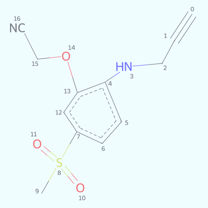 C#CCNc1ccc(S(C)(=O)=O)cc1OCC#N